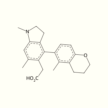 Cc1cc2c(c(-c3ccc4c(c3C)CCCO4)c1CC(=O)O)CCN2C